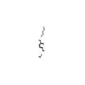 CCCCCCOC(=O)c1cnc(C(=O)NCC(=O)O)c(O)c1